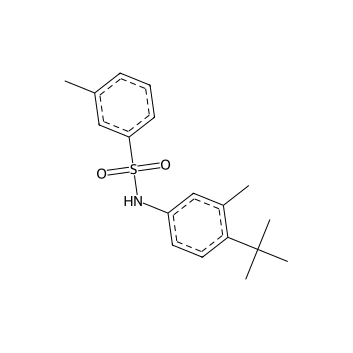 Cc1cccc(S(=O)(=O)Nc2ccc(C(C)(C)C)c(C)c2)c1